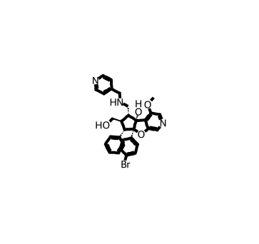 COc1cncc2c1[C@]1(O)[C@@H](CNCc3ccncc3)[C@H](CO)[C@@H](c3ccccc3)[C@]1(c1ccc(Br)cc1)O2